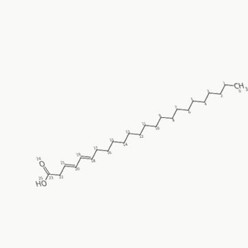 CCCCCCCCCCCCCCCCCC/C=C/C=C/CC(=O)O